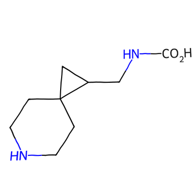 O=C(O)NCC1CC12CCNCC2